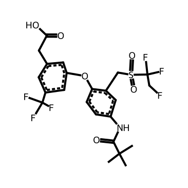 CC(C)(C)C(=O)Nc1ccc(Oc2cc(CC(=O)O)cc(C(F)(F)F)c2)c(CS(=O)(=O)C(F)(F)CF)c1